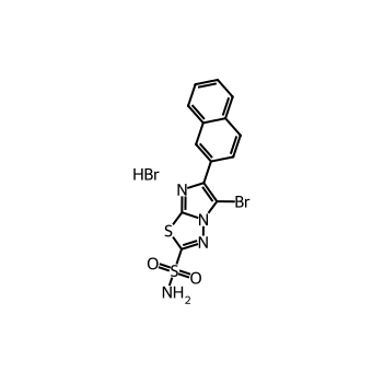 Br.NS(=O)(=O)c1nn2c(Br)c(-c3ccc4ccccc4c3)nc2s1